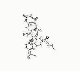 CCOC(=O)N1CCC(NC[C@@H](O)[C@H](Cc2cc(F)cc(F)c2)NC(C)=O)(c2cccc(C(C)C)c2)CC1